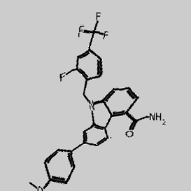 COc1ccc(-c2c[c]c3c4c(C(N)=O)cccc4n(Cc4ccc(C(F)(F)F)cc4F)c3c2)cc1